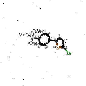 CO[Si](OC)(OC)c1ccc(-c2ccc(Br)s2)cc1